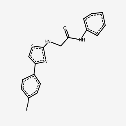 O=C(CNc1nc(-c2ccc(F)cc2)cs1)Nc1ccccc1